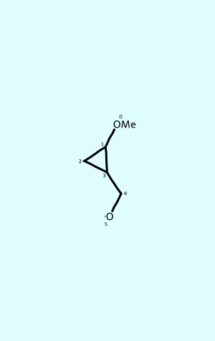 COC1CC1C[O]